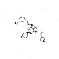 Cc1cccc(/C=N/Nc2nc(N3CCOCC3)nc3c2ncn3CC(=O)c2ccncc2)c1